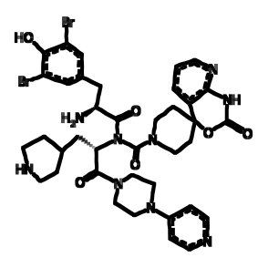 N[C@@H](Cc1cc(Br)c(O)c(Br)c1)C(=O)N(C(=O)N1CCC2(CC1)OC(=O)Nc1ncccc12)[C@@H](CC1CCNCC1)C(=O)N1CCN(c2ccncc2)CC1